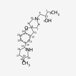 CCC(O)CN1CCC2(CC1)Cc1cc(C3CC[C@H](C)CN3)ccc1O2